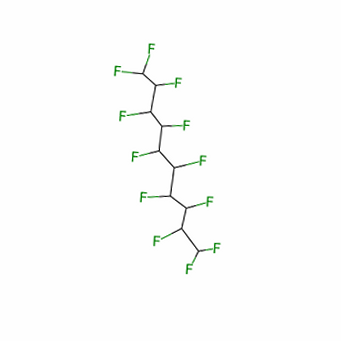 FC(F)C(F)C(F)C(F)C(F)C(F)C(F)C(F)C(F)C(F)F